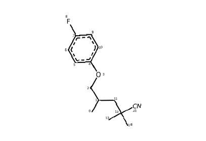 CC(COc1ccc(F)cc1)CC(C)(C)C#N